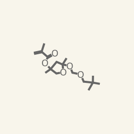 C=C(C)C(=O)OC1(C)COC(C)(OCOCC(C)(C)C)C1